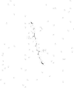 C=COCOCC(O)COCCOCC(O)COCOC=C